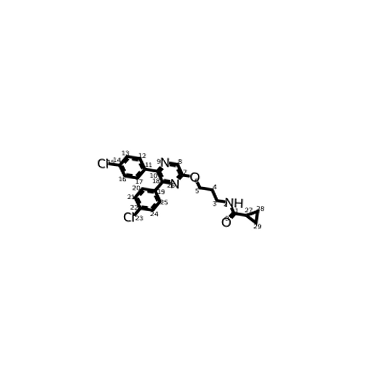 O=C(NCCCOc1cnc(-c2ccc(Cl)cc2)c(-c2ccc(Cl)cc2)n1)C1CC1